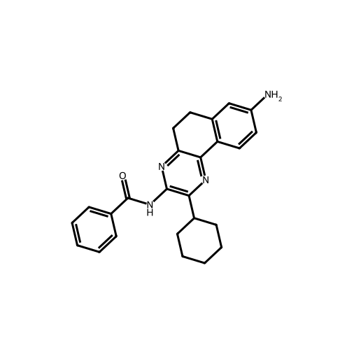 Nc1ccc2c(c1)CCc1nc(NC(=O)c3ccccc3)c(C3CCCCC3)nc1-2